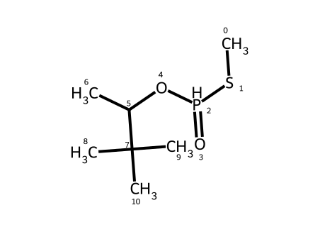 CS[PH](=O)OC(C)C(C)(C)C